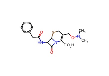 CN(C)OCC1=C(C(=O)O)N2C(=O)C(NC(=O)Cc3ccccc3)C2SC1